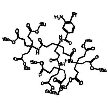 CC(C)c1ccc(C(=O)NC(CCC(=O)NC(CCC(=O)OC(C)(C)C)(CCC(=O)OC(C)(C)C)CCC(=O)OC(C)(C)C)(CCC(=O)NC(CCC(=O)OC(C)(C)C)(CCC(=O)OC(C)(C)C)CCC(=O)OC(C)(C)C)CCC(=O)NC(CCC(=O)OC(C)(C)C)(CCC(=O)OC(C)(C)C)CCC(=O)OC(C)(C)C)cc1N